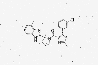 Cc1nc(C(=O)N2CCCC2(C)c2nc3c(C)cccc3[nH]2)c(-c2cccc(Cl)c2)s1